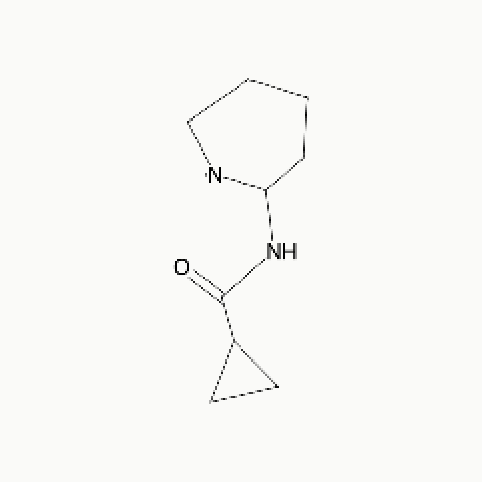 O=C(NC1CCCC[N]1)C1CC1